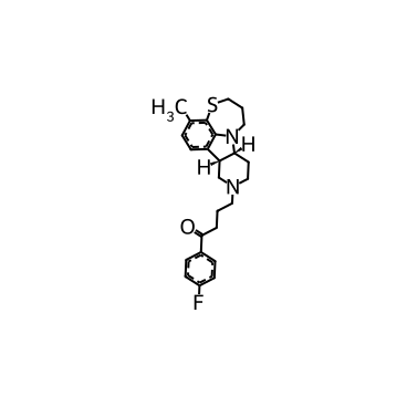 Cc1ccc2c3c1SCCCN3[C@@H]1CCN(CCCC(=O)c3ccc(F)cc3)C[C@H]21